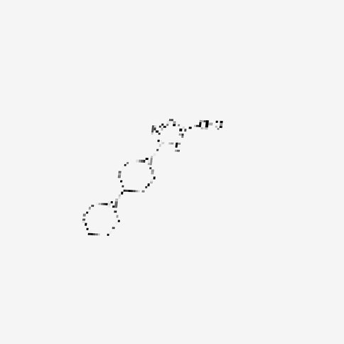 O=Cc1cnc(N2CCC(N3CCCCC3)CC2)s1